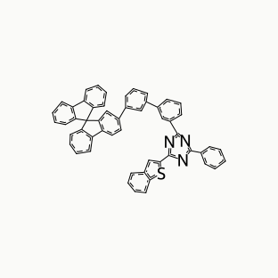 c1ccc(-c2nc(-c3cccc(-c4cccc(-c5ccc6c(c5)C5(c7ccccc7-c7ccccc75)c5ccccc5-6)c4)c3)nc(-c3cc4ccccc4s3)n2)cc1